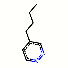 CCCCc1[c]nncc1